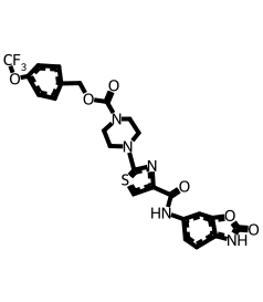 O=C(Nc1ccc2[nH]c(=O)oc2c1)c1csc(N2CCN(C(=O)OCc3ccc(OC(F)(F)F)cc3)CC2)n1